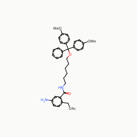 COc1ccc(C(OCCCCCCNC(=O)c2cc(N)ccc2COC(C)=O)(c2ccccc2)c2ccc(OC)cc2)cc1